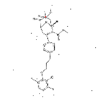 COC(=O)C1=C(c2ccc(CCCOc3c(F)ccc(F)c3Cl)cc2)CC2C(=O)N(C)C[C@H]1N2C(=O)OC